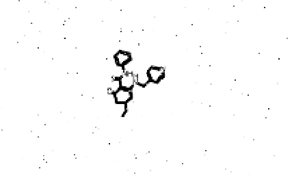 CCC1CC(=O)C(C(=S)Nc2ccccc2)=C(NCc2ccncc2)C1